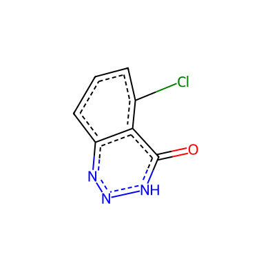 O=c1[nH]nnc2cccc(Cl)c12